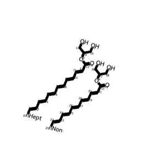 CCCCCCCC=CC=CC=CC=CC=CC=CC(=O)OC(CO)CO.CCCCCCCCCC=CC=CC=CC=CC=CC(=O)OC(CO)CO